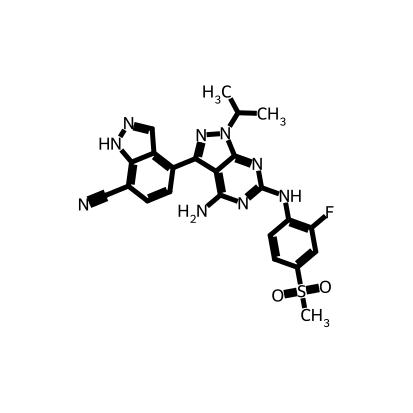 CC(C)n1nc(-c2ccc(C#N)c3[nH]ncc23)c2c(N)nc(Nc3ccc(S(C)(=O)=O)cc3F)nc21